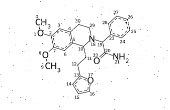 COc1cc2c(cc1OC)C(CCc1ccco1)N(C(C(N)=O)c1ccccc1)CC2